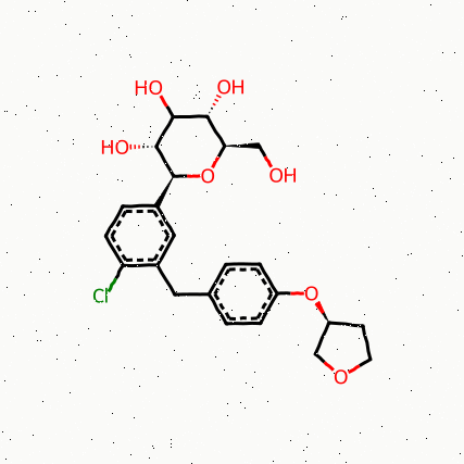 OC[C@H]1O[C@@H](c2ccc(Cl)c(Cc3ccc(O[C@H]4CCOC4)cc3)c2)[C@H](O)C(O)[C@@H]1O